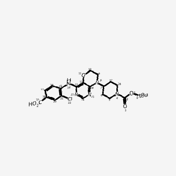 CC(C)(C)OC(=O)N1CCC(N2CCOc3c(Nc4ccc(C(=O)O)cc4Cl)ncnc32)CC1